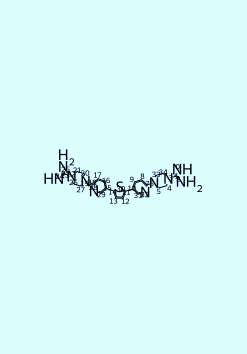 N=C(N)N1CCN(c2ccc(-c3ccc(-c4ccc(N5CCN(C(=N)N)CC5)nc4)s3)cn2)CC1